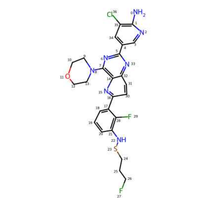 Nc1ncc(-c2nc(N3CCOCC3)c3nc(-c4cccc(NSCCCF)c4F)ccc3n2)cc1Cl